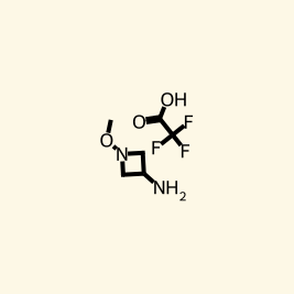 CON1CC(N)C1.O=C(O)C(F)(F)F